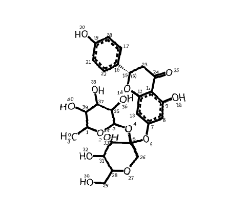 CC1OC(OC2(Oc3cc(O)c4c(c3)O[C@H](c3ccc(O)cc3)CC4=O)COC(CO)C(O)C2O)C(O)C(O)C1O